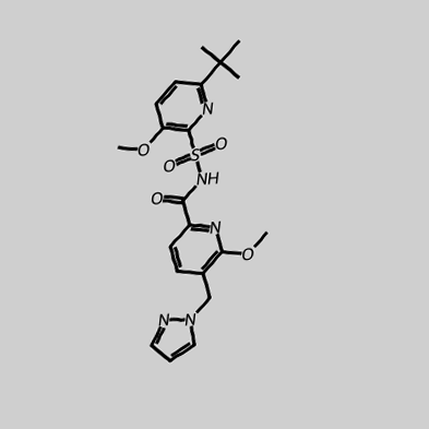 COc1ccc(C(C)(C)C)nc1S(=O)(=O)NC(=O)c1ccc(Cn2cccn2)c(OC)n1